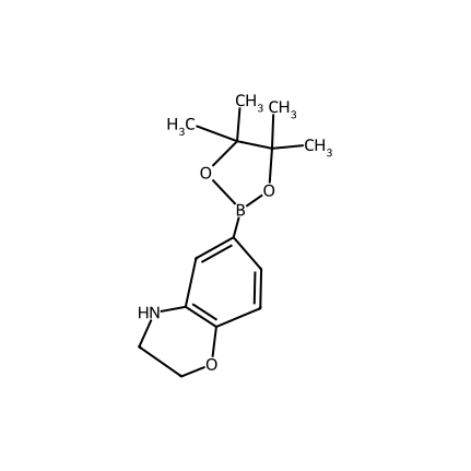 CC1(C)OB(c2ccc3c(c2)NCCO3)OC1(C)C